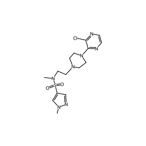 CN(CCN1CCN(c2nccnc2Cl)CC1)S(=O)(=O)c1cnn(C)c1